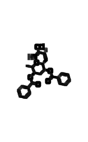 CC1O[C@@H](/C=C\C(=N)C(Cl)(Cl)Cl)[C@@H](OC(=O)c2ccccc2)C[C@H]1OC(=O)c1ccccc1